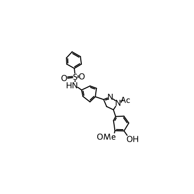 COc1cc(C2CC(c3ccc(NS(=O)(=O)c4ccccc4)cc3)=NN2C(C)=O)ccc1O